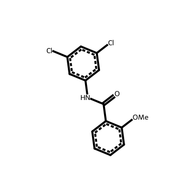 COc1ccccc1C(=O)Nc1cc(Cl)cc(Cl)c1